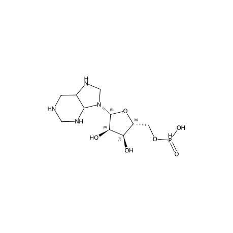 O=[PH](O)OC[C@H]1O[C@@H](N2CNC3CNCNC32)[C@H](O)[C@@H]1O